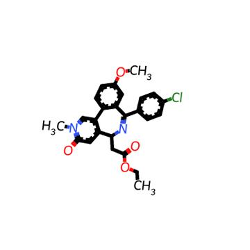 CCOC(=O)CC1N=C(c2ccc(Cl)cc2)c2cc(OC)ccc2-c2cn(C)c(=O)cc21